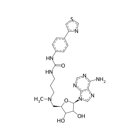 CN(CCCNC(=O)Nc1ccc(-c2cscn2)cc1)C[C@H]1O[C@@H](n2cnc3c(N)ncnc32)C(O)C1O